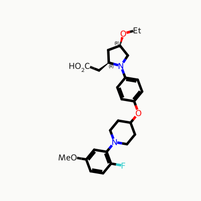 CCO[C@@H]1C[C@H](CC(=O)O)N(c2ccc(OC3CCN(c4cc(OC)ccc4F)CC3)cc2)C1